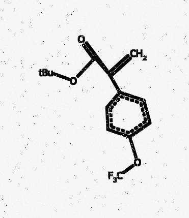 C=C(C(=O)OC(C)(C)C)c1ccc(OC(F)(F)F)cc1